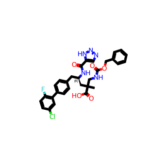 CC(CNC(=O)OCc1ccccc1)(C[C@@H](Cc1ccc(-c2cc(Cl)ccc2F)cc1)NC(=O)c1cnn[nH]1)C(=O)O